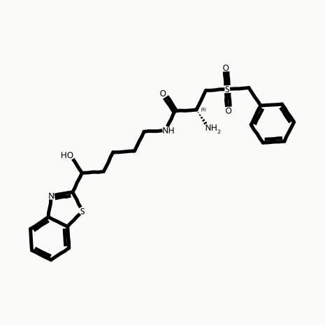 N[C@@H](CS(=O)(=O)Cc1ccccc1)C(=O)NCCCCC(O)c1nc2ccccc2s1